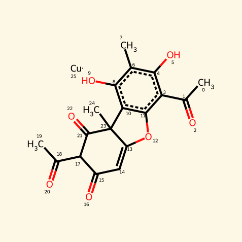 CC(=O)c1c(O)c(C)c(O)c2c1OC1=CC(=O)C(C(C)=O)C(=O)C12C.[Cu]